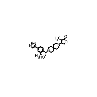 CC1=C(N2CCC3(CC2)CCN([C@@H](CO)c2ccc(-n4cnnn4)cc2C)CC3)COC1=O